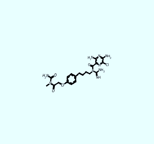 CN(C(N)=O)C(=O)COc1ccc(CCCCN(C(=N)N)C(=O)c2nc(Cl)c(N)nc2N)cc1